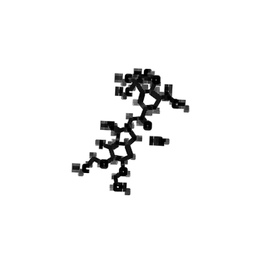 Br.CCOc1cc2c(c(F)c1OCC)C(=N)N(CC(=O)c1cc(NC)c(OC)c(C(C)(C)C)c1)C2